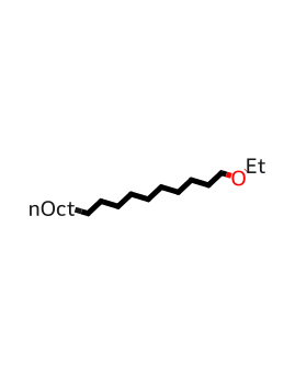 [CH2]COCCCCCCCCCCCCCCCCCC